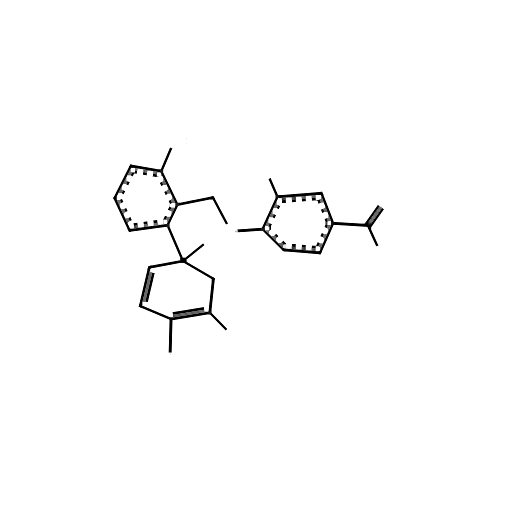 CCC(=O)c1ccc(OCc2c(C)cccc2C2(C(=O)O)C=CC(C)=C(C(=O)O)C2)c(C)c1